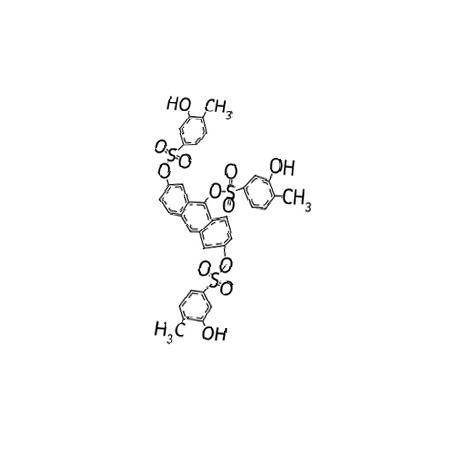 Cc1ccc(S(=O)(=O)Oc2ccc3c(OS(=O)(=O)c4ccc(C)c(O)c4)c4cc(OS(=O)(=O)c5ccc(C)c(O)c5)ccc4cc3c2)cc1O